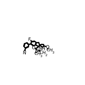 C=C1NC2(C(=O)N1C)c1cc(-c3cccc(C#N)c3)c(F)cc1CC21CCC(OC)CC1